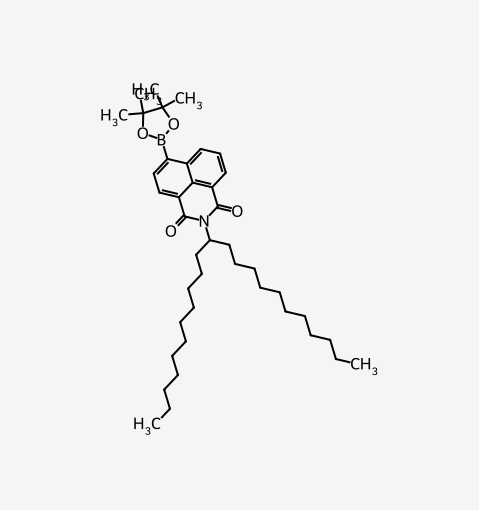 CCCCCCCCCCCC(CCCCCCCCCCC)N1C(=O)c2cccc3c(B4OC(C)(C)C(C)(C)O4)ccc(c23)C1=O